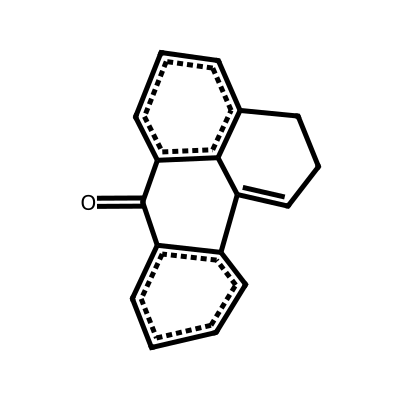 O=C1c2ccccc2C2=CCCc3cccc1c32